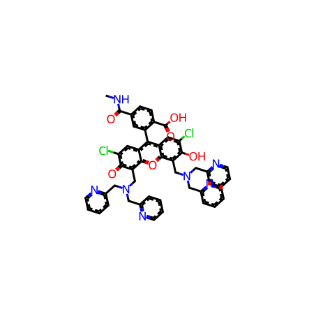 CNC(=O)c1ccc(C(=O)O)c(-c2c3cc(Cl)c(=O)c(CN(Cc4ccccn4)Cc4ccccn4)c-3oc3c(CN(Cc4ccccn4)Cc4ccccn4)c(O)c(Cl)cc23)c1